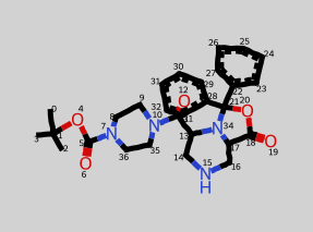 CC(C)(C)OC(=O)N1CCN(C(=O)C2CNCC3C(=O)OC(c4ccccc4)(c4ccccc4)N32)CC1